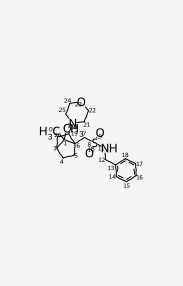 CC1(C)C2CCC1(CS(=O)(=O)NCc1ccccc1)C(N1CCOCC1)C2